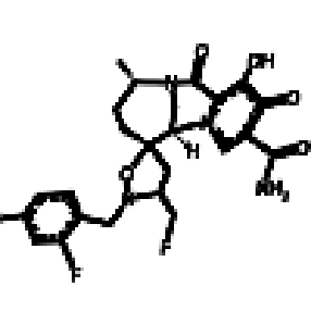 C[C@H]1CC[C@]2(CC(CF)N(Cc3ccc(F)cc3F)O2)[C@H]2CN1C(=O)c1c(O)c(=O)c(C(N)=O)cn12